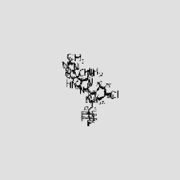 Cc1noc(C2(C)C(=O)Nc3nc(-c4nc(CCC(F)(F)C(F)(F)F)n5cc(Cl)ccc45)nc(N)c32)n1